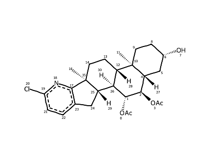 CC(=O)O[C@H]1[C@H](OC(C)=O)[C@H]2C[C@@H](O)CC[C@]2(C)[C@H]2CC[C@]3(C)c4nc(Cl)ccc4C[C@H]3[C@H]12